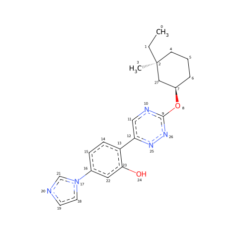 CC[C@@]1(C)CCC[C@@H](Oc2ncc(-c3ccc(-n4ccnc4)cc3O)nn2)C1